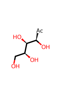 CC(=O)[C@@H](O)[C@H](O)[C@@H](O)CO